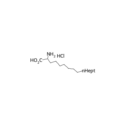 CCCCCCCCCCCCCCC(N)C(=O)O.Cl